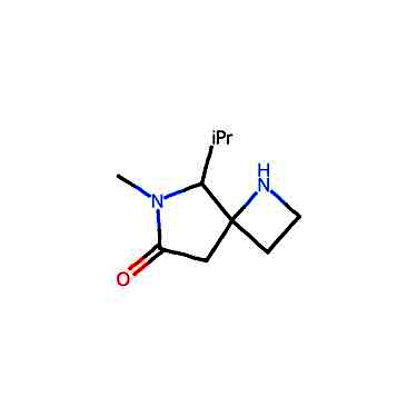 CC(C)C1N(C)C(=O)CC12CCN2